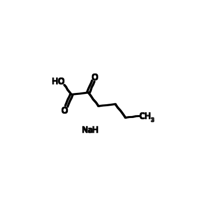 CCCCC(=O)C(=O)O.[NaH]